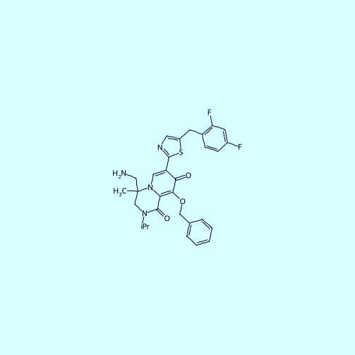 CC(C)N1CC(C)(CN)n2cc(-c3ncc(Cc4ccc(F)cc4F)s3)c(=O)c(OCc3ccccc3)c2C1=O